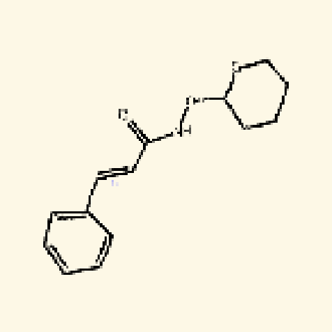 O=C(/C=C/c1ccccc1)NOC1CCCCO1